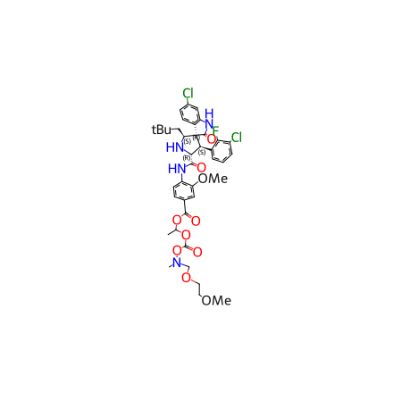 COCCOCN(C)OC(=O)OC(C)OC(=O)c1ccc(NC(=O)[C@@H]2N[C@@H](CC(C)(C)C)[C@@]3(C(=O)Nc4cc(Cl)ccc43)[C@H]2c2cccc(Cl)c2F)c(OC)c1